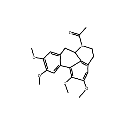 COc1cc2c(cc1OC)-c1c(OC)c(OC)cc3c1C(C2)N(C(C)=O)CC3